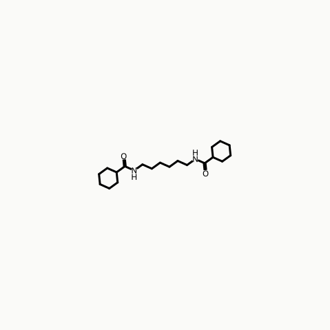 O=C(NCCCCCCNC(=O)C1CCCCC1)C1CCCCC1